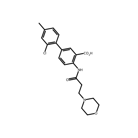 Cc1ccc(-c2ccc(NC(=O)CCN3CCOCC3)c(C(=O)O)c2)c(Cl)c1